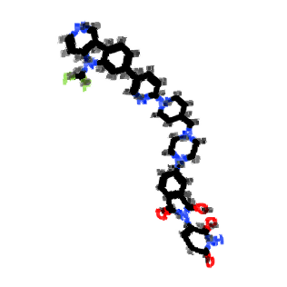 O=C1CCC(N2C(=O)c3ccc(N4CCN(CC5CCN(c6ccc(-c7ccc8c9cnccc9n(C(F)F)c8c7)cn6)CC5)CC4)cc3C2=O)C(=O)N1